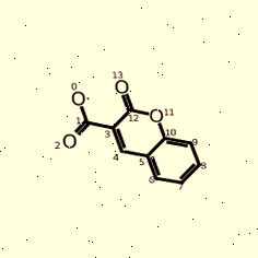 [O]C(=O)c1cc2ccccc2oc1=O